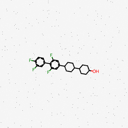 OC1CCC(C2CCC(c3cc(F)c(-c4ccc(F)c(F)c4)c(F)c3)CC2)CC1